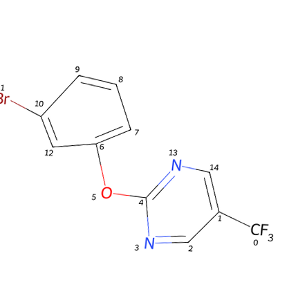 FC(F)(F)c1cnc(Oc2cccc(Br)c2)nc1